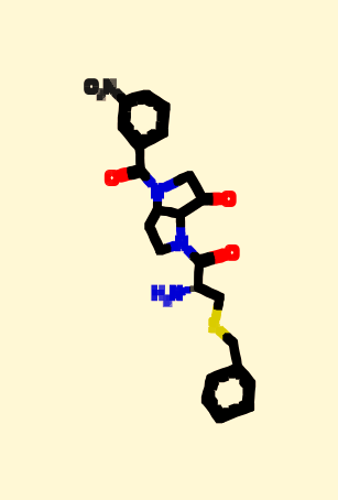 N[C@@H](CSCc1ccccc1)C(=O)N1CCC2C1C(=O)CN2C(=O)c1cccc([N+](=O)[O-])c1